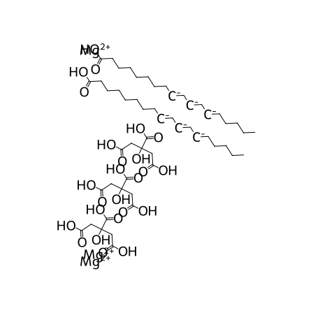 CCCCC[CH-]C[CH-]C[CH-]CCCCCCCC(=O)O.CCCCC[CH-]C[CH-]C[CH-]CCCCCCCC(=O)O.O=C(O)CC(O)(CC(=O)O)C(=O)O.O=C(O)CC(O)(CC(=O)O)C(=O)O.O=C(O)CC(O)(CC(=O)O)C(=O)O.[Mg+2].[Mg+2].[Mg+2]